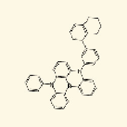 c1ccc(N2c3ccccc3B3c4ccccc4N(c4cccc(-c5cccc6c5CCCC6)c4)c4cccc2c43)cc1